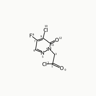 O=C(Cl)Cn1ncc(F)c(Cl)c1=O